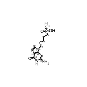 CP(=O)(O)CCCOCn1cnc2c(=O)[nH]c(N)nc21